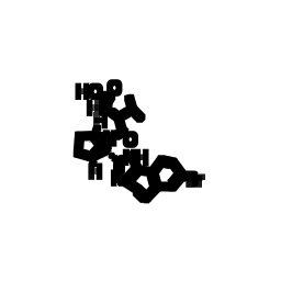 CC(C)C(NC(=O)O)C(=O)N1[C@H]2CC[C@H](C2)[C@H]1c1nc2ccc3cc(Br)ccc3c2[nH]1